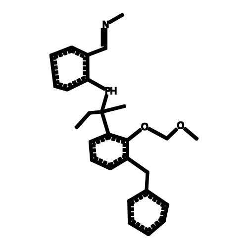 CCC(C)(Pc1ccccc1/C=N/C)c1cccc(Cc2ccccc2)c1OCOC